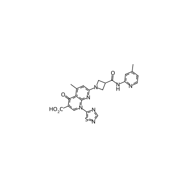 Cc1ccnc(NC(=O)C2CN(c3cc(C)c4c(=O)c(C(=O)O)cn(-c5ncns5)c4n3)C2)c1